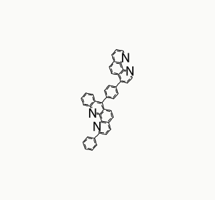 c1ccc(-c2ccc3ccc4c(-c5ccc(-c6ccnc7c6ccc6cccnc67)cc5)c5ccccc5nc4c3n2)cc1